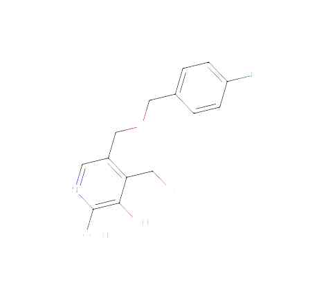 O=C(O)c1ncc(COCc2ccc(F)cc2)c(CO)c1O